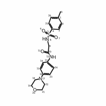 Cc1ccc(S(=O)(=O)NCC(=O)Nc2ccc(N3CCOCC3)cc2)cc1